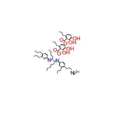 CCCCCC(=Nc1ccc(CCC)c(CCC)c1)C(CCCC)=Nc1ccc(CCC)c(CCC)c1.CCCc1ccc(O)c(O)c1C(=O)[O-].CCCc1ccc(O)c(O)c1C(=O)[O-].[Ni+2]